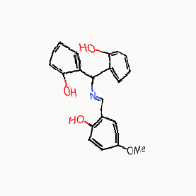 COc1ccc(O)c(/C=N/C(c2ccccc2O)c2ccccc2O)c1